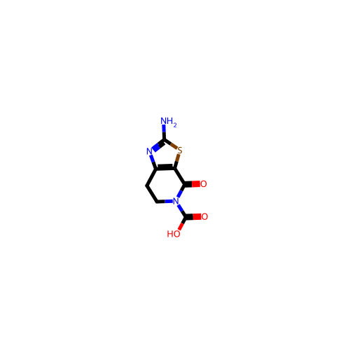 Nc1nc2c(s1)C(=O)N(C(=O)O)CC2